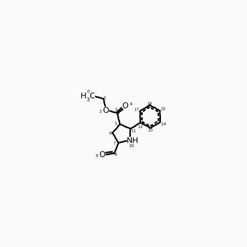 CCOC(=O)C1CC(C=O)NC1c1ccccc1